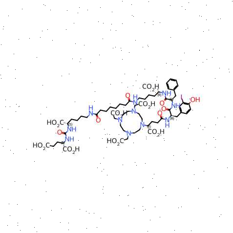 O=C(O)CC[C@H](NC(=O)N[C@@H](CCCCNC(=O)CCCCCCC(=O)NCCCC[C@@H](NC(=O)[C@@H](Cc1ccccc1)NC(=O)[C@@H](Cc1ccc(O)c(I)c1)NC(=O)CC[C@H](C(=O)O)N1CCN(CC(=O)O)CCN(CC(=O)O)CCN(CC(=O)O)CC1)C(=O)O)C(=O)O)C(=O)O